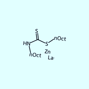 CCCCCCCCNC(=S)SCCCCCCCC.[La].[Zn]